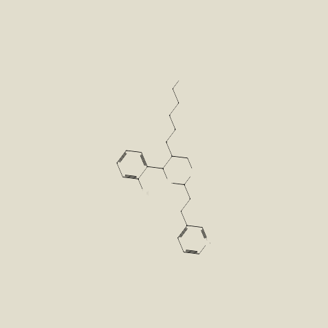 O=C(O)CCCCCC1COC(CCc2cccnc2)OC1c1ccccc1O